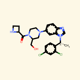 C[C@H](c1ccc(Cl)cc1Cl)n1cnc2ccc(N3CCN(C(=O)C4CCN4)C(CO)C3)cc21